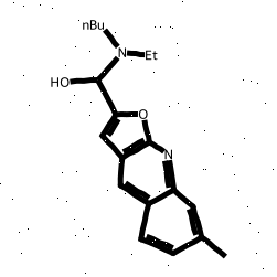 CCCCN(CC)C(O)c1cc2cc3ccc(C)cc3nc2o1